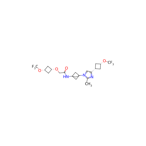 Cc1nc([C@H]2C[C@@H](OC(F)(F)F)C2)cn1C12CC(NC(=O)CO[C@H]3C[C@@H](OC(F)(F)F)C3)(C1)C2